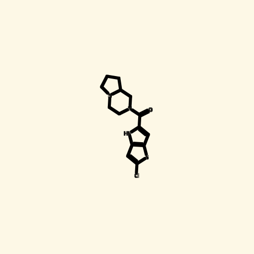 O=C(c1cc2sc(Cl)cc2[nH]1)N1CCN2CCCC2C1